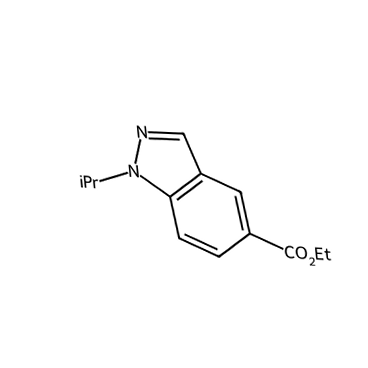 CCOC(=O)c1ccc2c(cnn2C(C)C)c1